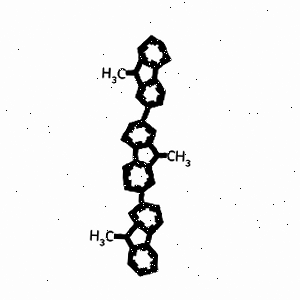 CC1c2ccccc2-c2ccc(-c3ccc4c(c3)C(C)c3cc(-c5ccc6c(c5)C(C)c5ccccc5-6)ccc3-4)cc21